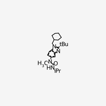 CC(C)NC(=O)N(C)c1ccc2c(c1)nc(C(C)(C)C)n2CC1CCCCC1